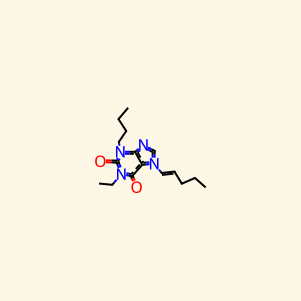 CCCC=Cn1cnc2c1c(=O)n(CC)c(=O)n2CCCC